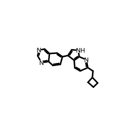 c1ncc2cc(-c3c[nH]c4nc(CC5CCC5)ccc34)ccc2n1